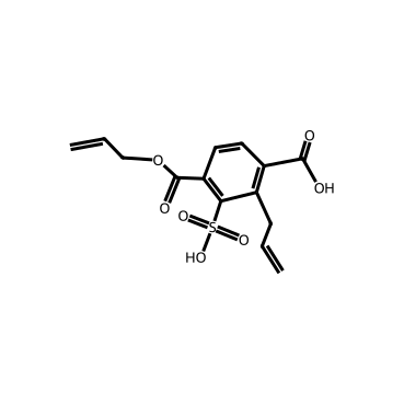 C=CCOC(=O)c1ccc(C(=O)O)c(CC=C)c1S(=O)(=O)O